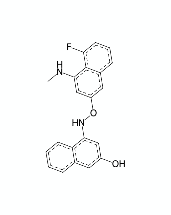 CNc1cc(ONc2cc(O)cc3ccccc23)cc2cccc(F)c12